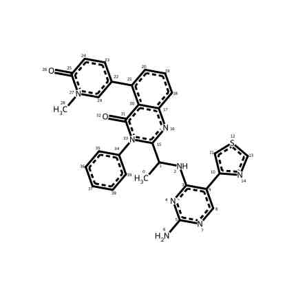 CC(Nc1nc(N)ncc1-c1cscn1)c1nc2cccc(-c3ccc(=O)n(C)c3)c2c(=O)n1-c1ccccc1